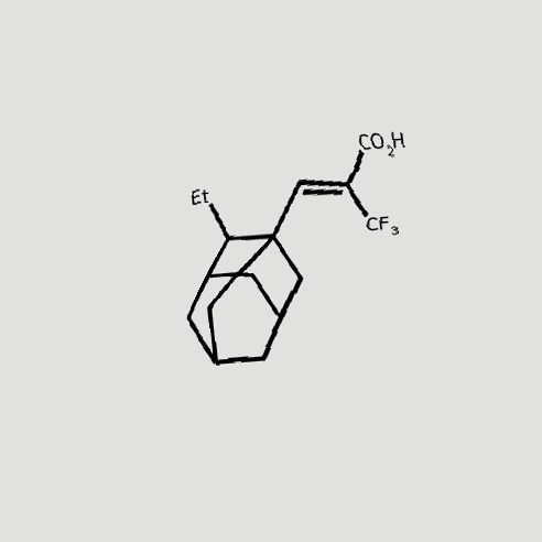 CCC1C2CC3CC(C2)CC1(C=C(C(=O)O)C(F)(F)F)C3